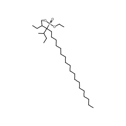 CCCCCCCCCCCCCCCCCCCC(C(C)CC)(C(C)CC)P(=O)(O)OCC